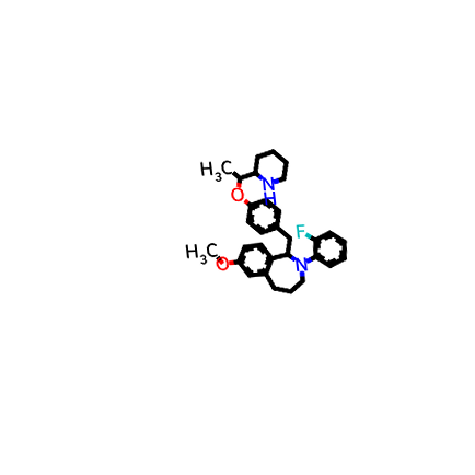 COc1ccc2c(c1)CCCN(c1ccccc1F)C2Cc1ccc(OC(C)C2CCCCN2)cc1